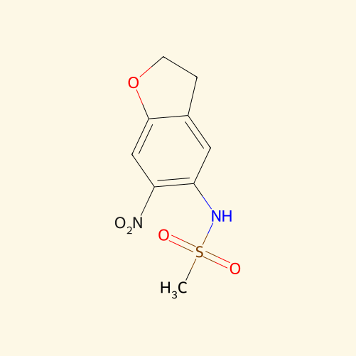 CS(=O)(=O)Nc1cc2c(cc1[N+](=O)[O-])OCC2